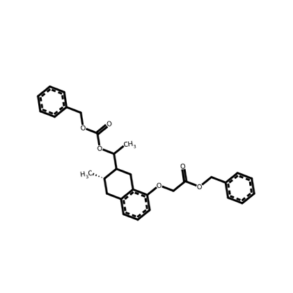 CC(OC(=O)OCc1ccccc1)C1Cc2c(cccc2OCC(=O)OCc2ccccc2)C[C@@H]1C